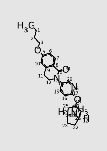 CCCCOc1ccc2c(c1)CCN(c1ccc(O[C@H]3C[C@H]4CC[C@@H](C3)N4C)nc1)C2=O